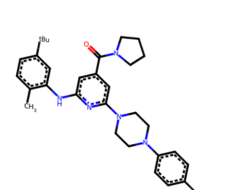 COc1ccc(N2CCN(c3cc(C(=O)N4CCCC4)cc(Nc4cc(C(C)(C)C)ccc4C)n3)CC2)cc1